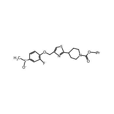 CC(C)OC(=O)N1CCC(c2nc(COc3ccc([S+](C)[O-])cc3F)cs2)CC1